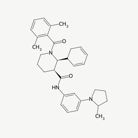 Cc1cccc(C)c1C(=O)N1CCC[C@H](C(=O)Nc2cccc(N3CCCC3C)c2)[C@@H]1C1C=CC=CC1